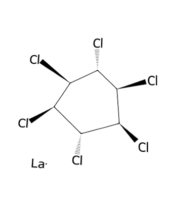 Cl[C@H]1[C@H](Cl)[C@@H](Cl)[C@@H](Cl)[C@H](Cl)[C@H]1Cl.[La]